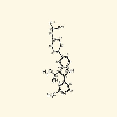 Cc1cc(-c2[nH]c3ccc(C4CCN(CC(F)F)CC4)cc3c2C(C)C)ccn1